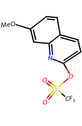 COc1ccc2ccc(OS(=O)(=O)C(F)(F)F)nc2c1